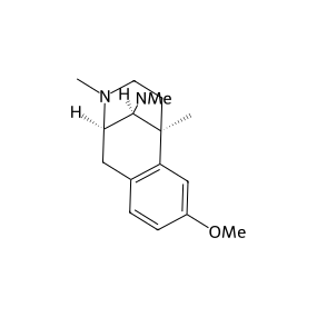 CN[C@@H]1[C@H]2Cc3ccc(OC)cc3[C@]1(C)CCN2C